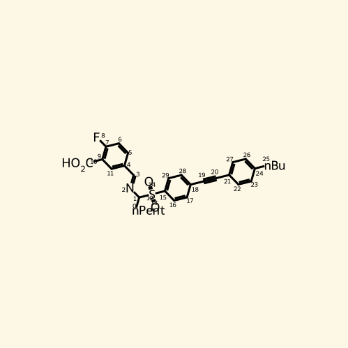 CCCCCC(N=Cc1ccc(F)c(C(=O)O)c1)S(=O)(=O)c1ccc(C#Cc2ccc(CCCC)cc2)cc1